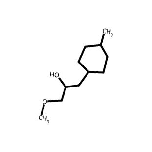 COCC(O)CC1CCC(C)CC1